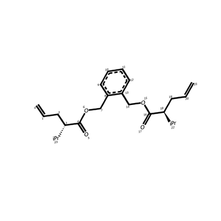 C=CC[C@H](C(=O)OCc1ccccc1COC(=O)[C@@H](CC=C)C(C)C)C(C)C